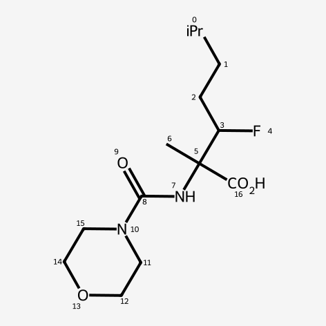 CC(C)CCC(F)C(C)(NC(=O)N1CCOCC1)C(=O)O